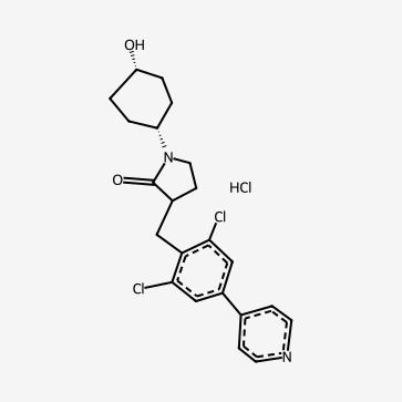 Cl.O=C1C(Cc2c(Cl)cc(-c3ccncc3)cc2Cl)CCN1[C@H]1CC[C@@H](O)CC1